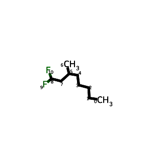 CCCCCC(C)CC(F)F